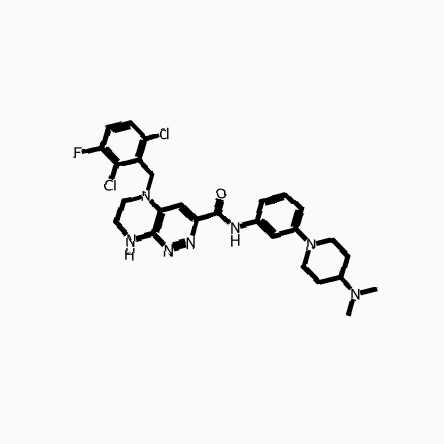 CN(C)C1CCN(c2cccc(NC(=O)c3cc4c(nn3)NCCN4Cc3c(Cl)ccc(F)c3Cl)c2)CC1